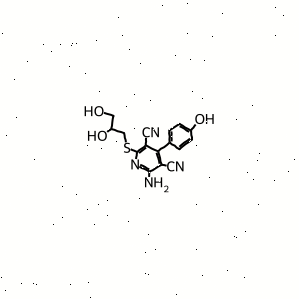 N#Cc1c(N)nc(SCC(O)CO)c(C#N)c1-c1ccc(O)cc1